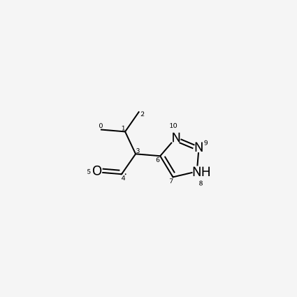 CC(C)C([C]=O)c1c[nH]nn1